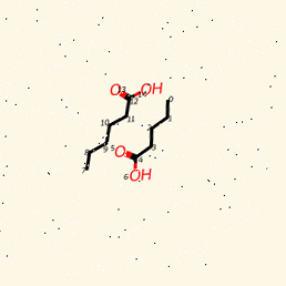 CCCCC(=O)O.CCCCCC(=O)O